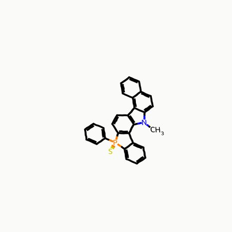 Cn1c2ccc3ccccc3c2c2ccc3c(c21)-c1ccccc1P3(=S)c1ccccc1